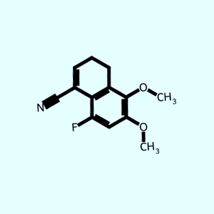 COc1cc(F)c2c(c1OC)CCC=C2C#N